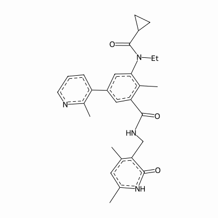 CCN(C(=O)C1CC1)c1cc(-c2cccnc2C)cc(C(=O)NCc2c(C)cc(C)[nH]c2=O)c1C